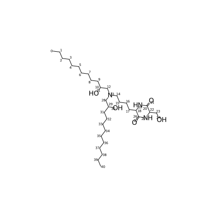 CCCCCCCCCCC(O)CN(CCCCC1NC(=O)C(CO)NC1=O)CC(O)CCCCCCCCCC